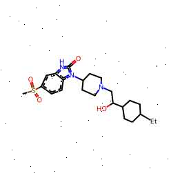 CCC1CCC(C(O)CN2CCC(n3c(=O)[nH]c4cc(S(C)(=O)=O)ccc43)CC2)CC1